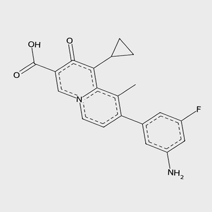 Cc1c(-c2cc(N)cc(F)c2)ccn2cc(C(=O)O)c(=O)c(C3CC3)c12